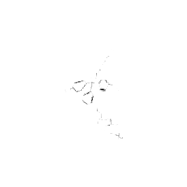 COc1ccc(C(SCCCCCCO)(c2ccc(OC)cc2)c2cccc(CCCC(CC(=O)OC(C)(C)C)OC)c2)cc1